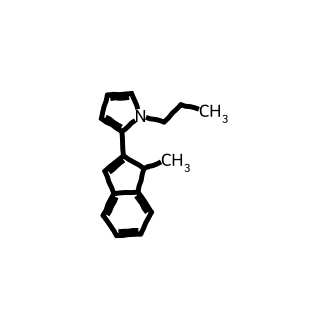 CCCn1cccc1C1=Cc2ccccc2[C]1C